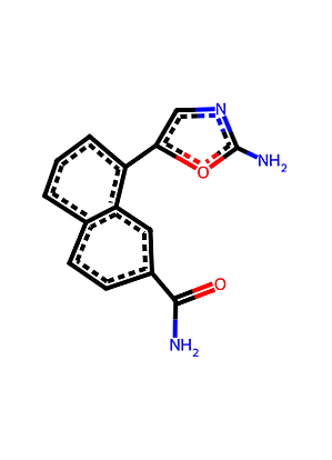 NC(=O)c1ccc2cccc(-c3cnc(N)o3)c2c1